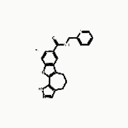 Cl.O=C(NCc1ccccn1)c1ccc2[nH]c3c(c2c1)CCCc1cn[nH]c1-3